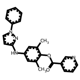 Cc1cc(Nc2ccn(-c3ccccc3)n2)cc(C)c1OC(=O)c1cccnc1